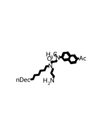 CCCCCCCCCCCCCCCCN(CCCN)C(=O)CN(C)c1ccc2cc(C(C)=O)ccc2c1